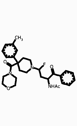 CC(=O)NC(CC(F)N1CCC(C(=O)N2CCOCC2)(c2cccc(C)c2)CC1)C(=O)c1ccccc1